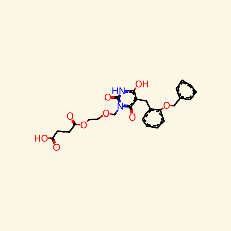 O=C(O)CCC(=O)OCCOCn1c(=O)[nH]c(O)c(Cc2ccccc2OCc2ccccc2)c1=O